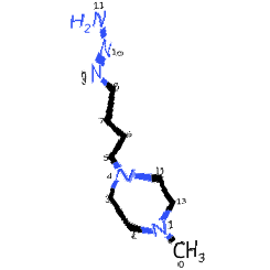 CN1CCN(CCCCN=NN)CC1